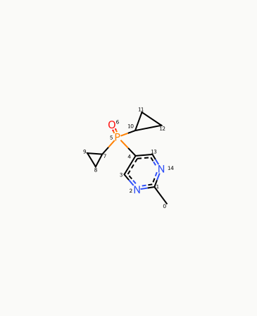 Cc1ncc(P(=O)(C2CC2)C2CC2)cn1